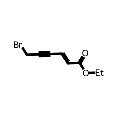 CCOC(=O)C=CC#CCBr